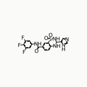 O=C(Nc1cc(F)c(F)c(F)c1)c1ccc2c(c1)S(=O)(=O)NC(c1cnc[nH]1)N2